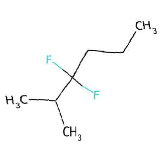 CCCC(F)(F)C(C)C